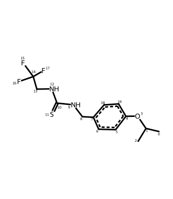 CC(C)Oc1ccc(CNC(=S)NCC(F)(F)F)cc1